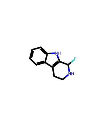 FC1NCCc2c1[nH]c1ccccc21